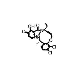 CC[C@H]1/C=C/COc2c(ccc(Cl)c2Cl)[C@H](C)N2CN1C(=O)c1c(O)c(=O)ccn12